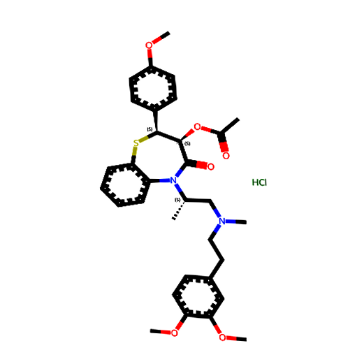 COc1ccc([C@@H]2Sc3ccccc3N([C@@H](C)CN(C)CCc3ccc(OC)c(OC)c3)C(=O)[C@@H]2OC(C)=O)cc1.Cl